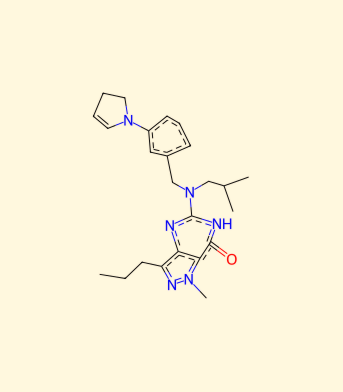 CCCc1nn(C)c2c(=O)[nH]c(N(Cc3cccc(N4C=CCC4)c3)CC(C)C)nc12